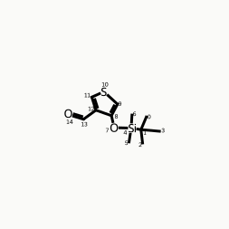 CC(C)(C)[Si](C)(C)Oc1cscc1C=O